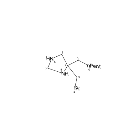 CCCCCCC1(CC(C)C)CNCN1